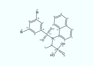 CC(N(c1cccc2ccccc12)S(=O)(=O)c1cc(Br)cc(Br)c1)P(=O)(O)O